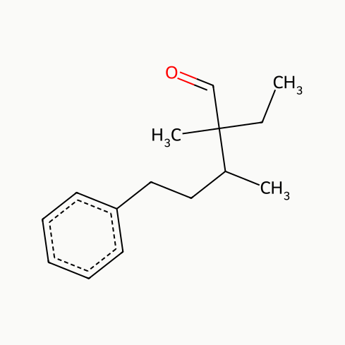 CCC(C)(C=O)C(C)CCc1ccccc1